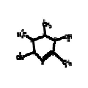 CC1=CC(N=O)C(C)C(C)C1O